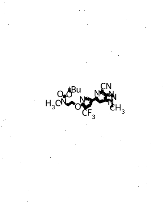 CN(CCOc1ncc(-c2cc3c(nnn3C)c(C#N)n2)cc1C(F)(F)F)C(=O)OC(C)(C)C